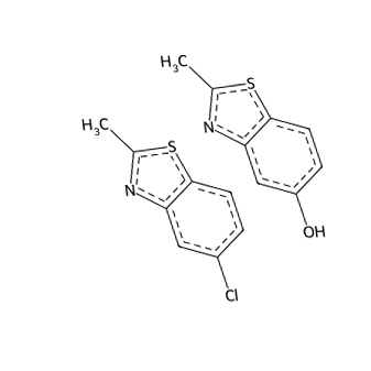 Cc1nc2cc(Cl)ccc2s1.Cc1nc2cc(O)ccc2s1